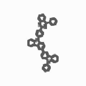 c1ccc(-c2nc(-c3ccc(-n4c5ccccc5c5cc(-c6ccc7c(c6)c6ccccc6n7-c6ccccc6)ccc54)cc3)nc3ccccc23)cc1